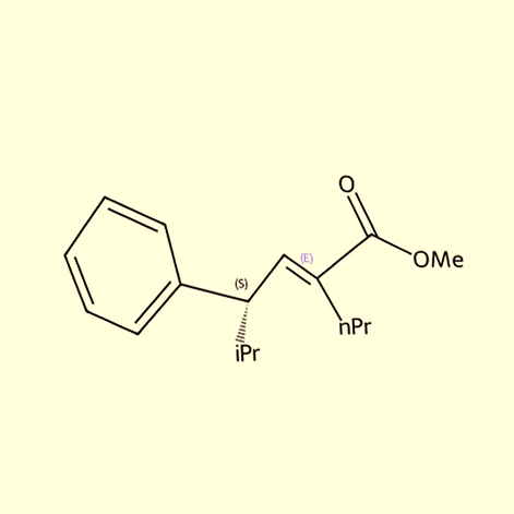 CCC/C(=C\[C@@H](c1ccccc1)C(C)C)C(=O)OC